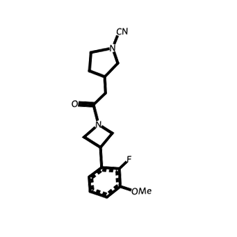 COc1cccc(C2CN(C(=O)CC3CCN(C#N)C3)C2)c1F